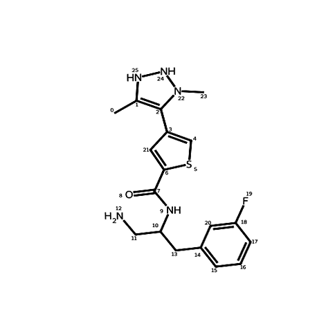 CC1=C(c2csc(C(=O)NC(CN)Cc3cccc(F)c3)c2)N(C)NN1